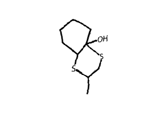 CC1CSC2(O)CCCCC2S1